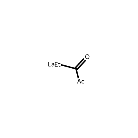 CCC(=O)C(C)=O.[La]